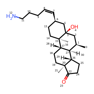 C[C@@H]1C[C@@]2(O)C[C@H](/C=C\CCCN)CC[C@]2(C)[C@H]2CC[C@]3(C)C(=O)CC[C@H]3[C@H]12